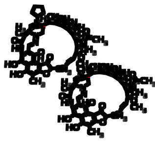 CO[C@H]1/C=C/O[C@@]2(C)Oc3c(C)c(O)c4c(O)c(c(/C=N/N5CCN(C)CC5)c(O)c4c3C2=O)NC(=O)/C(C)=C\C=C\[C@H](C)[C@H](O)[C@@H](C)[C@@H](O)[C@@H](C)[C@H](OC(C)=O)[C@@H]1C.CO[C@H]1/C=C/O[C@@]2(C)Oc3c(C)c(O)c4c(O)c(c(/C=N/N5CCN(C6CCCC6)CC5)c(O)c4c3C2=O)NC(=O)/C(C)=C\C=C\[C@H](C)[C@H](O)[C@@H](C)[C@@H](O)[C@@H](C)[C@H](OC(C)=O)[C@@H]1C